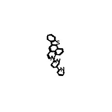 C1=Cc2sc3c(cc4c5c(cccc53)N(c3ccc(-c5ccccn5)cn3)C=C4)c2CC1